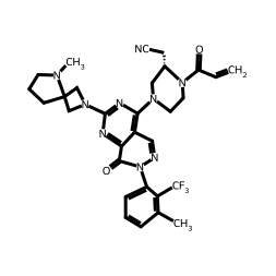 C=CC(=O)N1CCN(c2nc(N3CC4(CCCN4C)C3)nc3c(=O)n(-c4cccc(C)c4C(F)(F)F)ncc23)C[C@@H]1CC#N